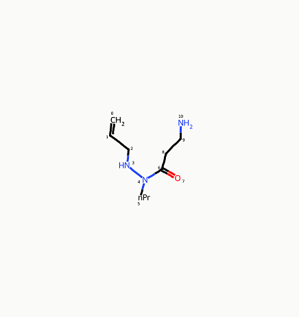 C=CCNN(CCC)C(=O)CCN